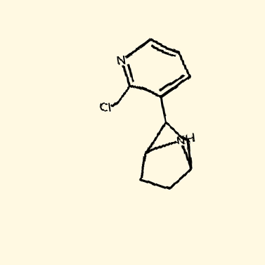 Clc1ncccc1C1CC2CCC1N2